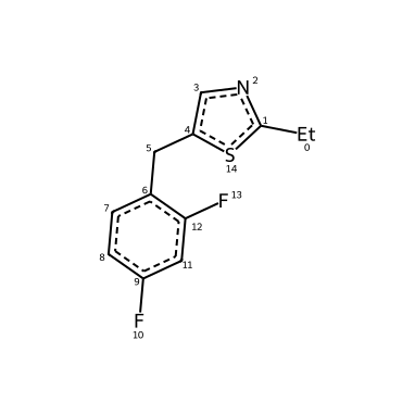 CCc1ncc(Cc2ccc(F)cc2F)s1